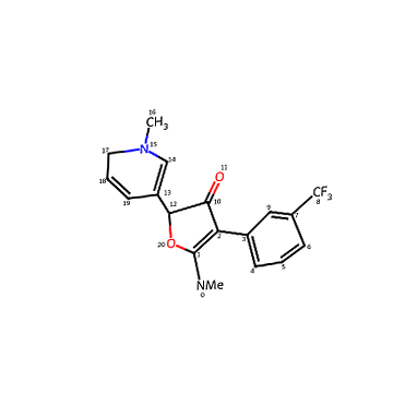 CNC1=C(c2cccc(C(F)(F)F)c2)C(=O)C(C2=CN(C)CC=C2)O1